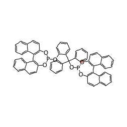 c1ccc(C(Op2oc3ccc4ccccc4c3c3c(ccc4ccccc43)o2)(c2ccccc2)c2ccccc2Op2oc3ccc4ccccc4c3c3c(ccc4ccccc43)o2)cc1